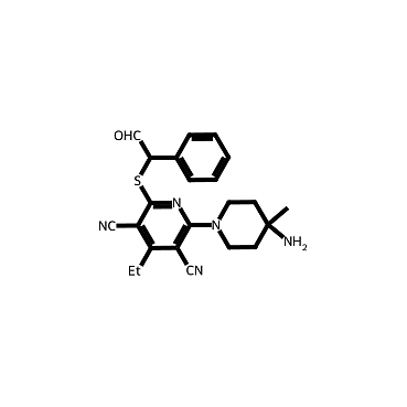 CCc1c(C#N)c(SC(C=O)c2ccccc2)nc(N2CCC(C)(N)CC2)c1C#N